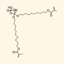 C=C(C)C(=O)OCCCCCCCCCCOP(=O)(OCCCCCCCCCCOC(=O)C(=C)C)OP(=O)(O)O